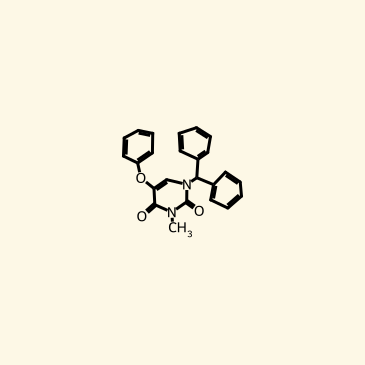 Cn1c(=O)c(Oc2ccccc2)cn(C(c2ccccc2)c2ccccc2)c1=O